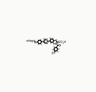 CCCCCCCOc1ccc(-c2cnc(-c3ccc(C[C@H](NC(=O)c4ccc(CC)cc4)C(=O)O)cc3)nc2)cc1